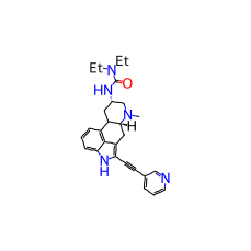 CCN(CC)C(=O)N[C@H]1CC2c3cccc4[nH]c(C#Cc5cccnc5)c(c34)C[C@H]2N(C)C1